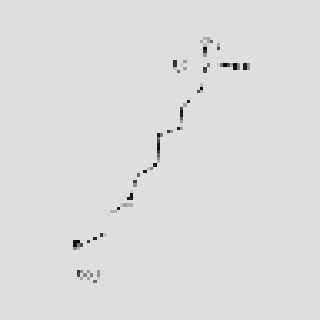 CC(C)(C)[Si](C)(C)OCCCCCOCCNC(=O)O